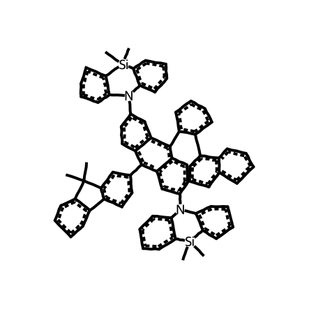 CC1(C)c2ccccc2-c2ccc(-c3c4cc(N5c6ccccc6[Si](C)(C)c6ccccc65)ccc4c(-c4ccccc4-c4cccc5ccccc45)c4cc(N5c6ccccc6[Si](C)(C)c6ccccc65)ccc34)cc21